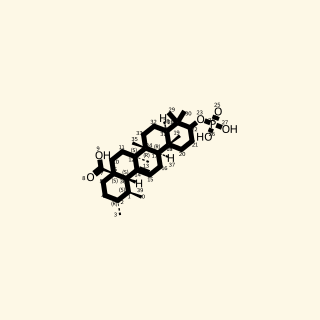 C[C@H]1[C@H](C)CC[C@]2(C(=O)O)CC[C@]3(C)C(=CC[C@@H]4[C@@]5(C)CCC(OP(=O)(O)O)C(C)(C)[C@@H]5CC[C@]43C)[C@H]12